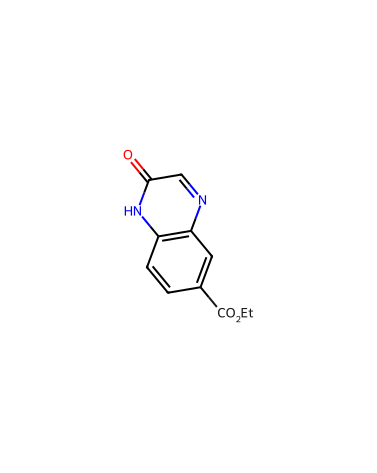 CCOC(=O)c1ccc2[nH]c(=O)cnc2c1